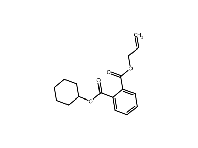 C=CCOC(=O)c1ccccc1C(=O)OC1CCCCC1